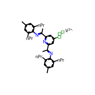 CCCc1cc(C)cc(CCC)c1N=C(C)c1cc(Cl)cc(C(C)=Nc2c(CCC)cc(C)cc2CCC)n1.[Cl-].[Cl-].[V+2]